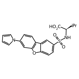 CC(C)[C@@H](NS(=O)(=O)c1ccc2oc3cc(-n4cccc4)ccc3c2c1)C(=O)O